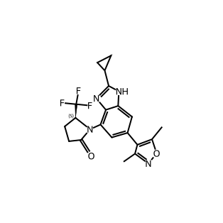 Cc1noc(C)c1-c1cc(N2C(=O)CC[C@H]2C(F)(F)F)c2nc(C3CC3)[nH]c2c1